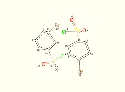 O=S(=O)(Cl)c1ccc(Br)cc1.O=S(=O)(Cl)c1cccc(Br)c1